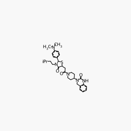 CC(C)CCN1C(=O)C(CC(=O)N2CCC(N3Cc4ccccc4NC3=O)CC2)SC1c1ccc(N(C)C)cc1